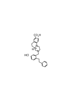 Cl.O=C(O)c1ccc2c(c1)CC[C@@H]1CN(Cc3ccccc3CCc3ccccc3)CCN21